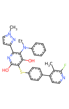 CCN(c1ccccc1)c1c(-c2ccn(C)n2)nc(O)c(Sc2ccc(-c3ccnc(F)c3C)cc2)c1O